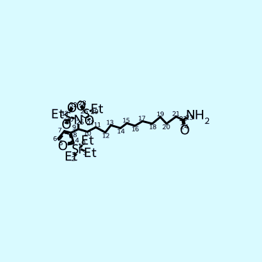 CC[Si](CC)(CC)c1occc1C(CCCCCCCCCCCCC(N)=O)N(S(=O)(=O)CC)S(=O)(=O)CC